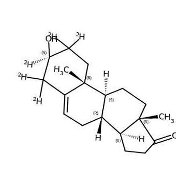 [2H]C1([2H])C[C@@]2(C)C(=CC[C@@H]3[C@@H]2CC[C@]2(C)C(=O)CC[C@@H]32)C([2H])([2H])[C@@]1([2H])O